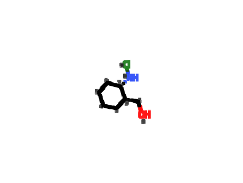 OC[C@H]1CCCC[C@@H]1NCl